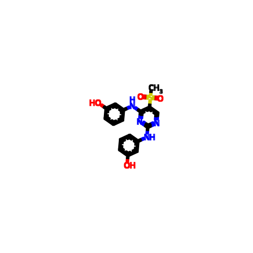 CS(=O)(=O)c1cnc(Nc2cccc(O)c2)nc1Nc1cccc(O)c1